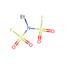 CCN(S(=O)(=O)F)S(=O)(=O)F